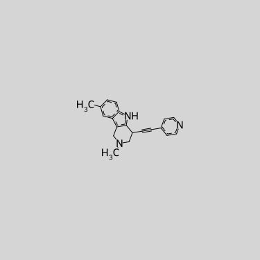 Cc1ccc2[nH]c3c(c2c1)CN(C)CC3C#Cc1ccncc1